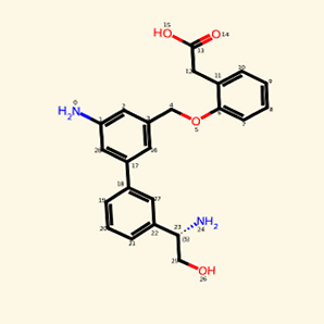 Nc1cc(COc2ccccc2CC(=O)O)cc(-c2cccc([C@H](N)CO)c2)c1